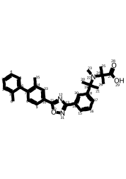 Cc1ccccc1-c1ccc(-c2nc(-c3cccc(C(C)(C)N(C)C(C)(C)C(=O)O)c3)no2)cc1C